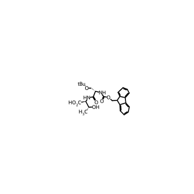 C[C@@H](O)[C@H](NC(=O)[C@H](COC(C)(C)C)NC(=O)OCC1c2ccccc2-c2ccccc21)C(=O)O